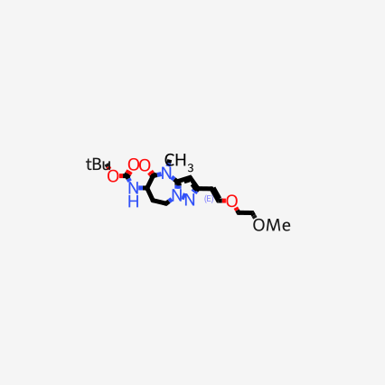 COCCO/C=C/c1cc2n(n1)CCC(NC(=O)OC(C)(C)C)C(=O)N2C